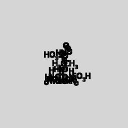 COc1cc2c(cc1OCc1cc(COc3cc4c(cc3OC)CN3c5ccccc5CC3C(S(=O)(=O)O)N4)cc(NC(=O)CCC(C)(C)SSCCC(C(=O)NCCN3C(=O)C=CC3=O)S(=O)(=O)O)c1)NC[C@@H]1Cc3ccccc3N1C2